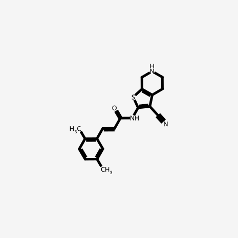 Cc1ccc(C)c(C=CC(=O)Nc2sc3c(c2C#N)CCNC3)c1